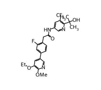 CCOc1cc(-c2ccc(CC(=O)Nc3cnc(C(C)(C)O)c(C(F)(F)F)c3)c(F)c2)cnc1OC